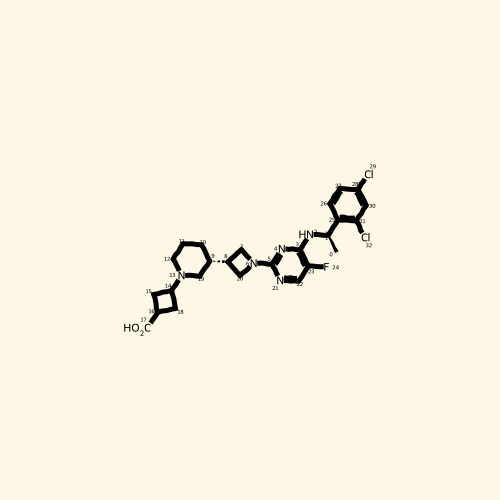 C[C@@H](Nc1nc(N2CC([C@H]3CCCN(C4CC(C(=O)O)C4)C3)C2)ncc1F)c1ccc(Cl)cc1Cl